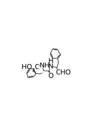 O=C[C@H](Cc1ccccc1)NC(=O)[C@H](Cc1ccccc1)NC(=O)O